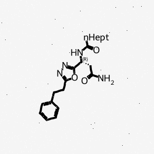 CCCCCCCC(=O)N[C@H](CC(N)=O)c1nnc(CCc2ccccc2)o1